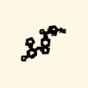 CC(=O)c1ccn(C(=O)N2CCC3(CCCN3Cc3ccc(Cl)cc3N3CCCC3)CC2)n1